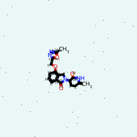 C=C1CCC(N2Cc3c(OCc4nnc(C)o4)cccc3C2=O)C(=O)N1